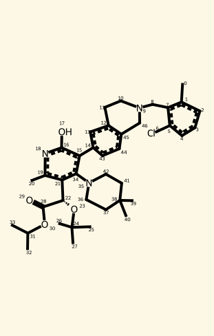 Cc1cccc(Cl)c1CN1CCc2cc(-c3c(O)nc(C)c([C@H](OC(C)(C)C)C(=O)OC(C)C)c3N3CCC(C)(C)CC3)ccc2C1